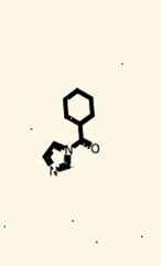 O=C(C1CCCCC1)n1[c]ncc1